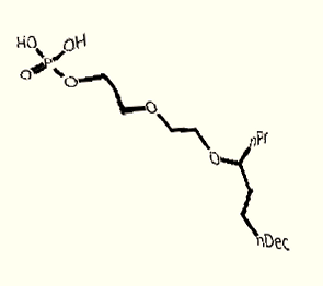 CCCCCCCCCCCCC(CCC)OCCOCCOP(=O)(O)O